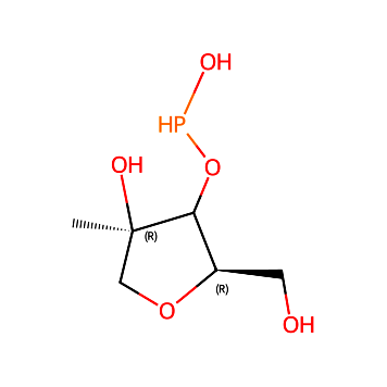 C[C@@]1(O)CO[C@H](CO)C1OPO